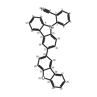 N#Cc1ccccc1-n1c2ccccc2c2cc(-c3ccc4oc5ccccc5c4c3)ccc21